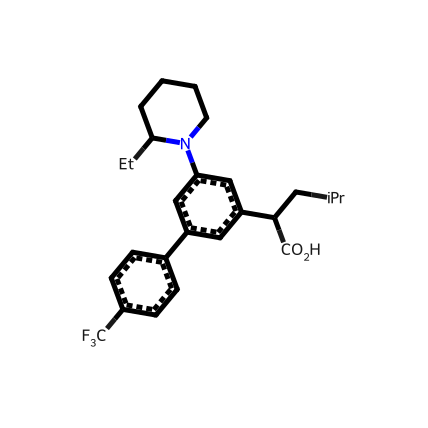 CCC1CCCCN1c1cc(-c2ccc(C(F)(F)F)cc2)cc(C(CC(C)C)C(=O)O)c1